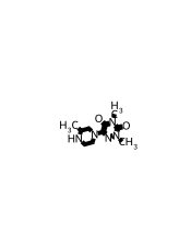 CC1CN(c2nn(C)c(=O)n(C)c2=O)CCN1